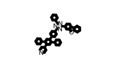 c1ccc(-c2nc(-c3ccc(-c4cc(-c5ccccc5)c(-c5ccncc5)cc4-c4ccccc4)cc3)nc(-c3ccc4c(c3)oc3ccccc34)n2)cc1